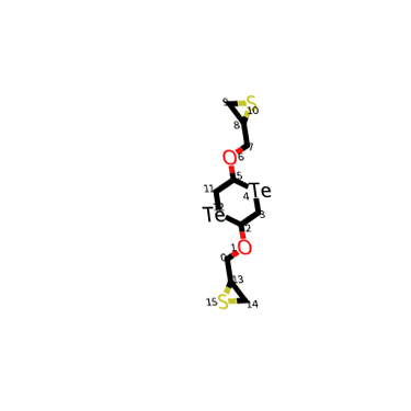 C(OC1C[Te]C(OCC2CS2)C[Te]1)C1CS1